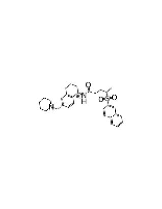 CC(CCC(=O)N[C@@H]1CCCc2cc(CN3CCCCC3)ccc21)S(=O)(=O)c1ccc2ccccc2c1